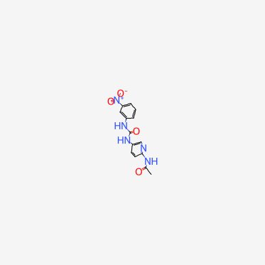 CC(=O)Nc1ccc(NC(=O)Nc2cccc([N+](=O)[O-])c2)cn1